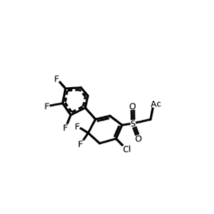 CC(=O)CS(=O)(=O)C1=C(Cl)CC(F)(F)C(c2ccc(F)c(F)c2F)=C1